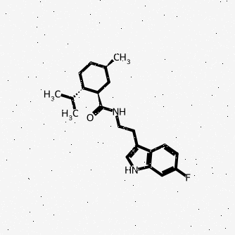 CC(C)[C@@H]1CC[C@@H](C)C[C@H]1C(=O)NCCc1c[nH]c2cc(F)ccc12